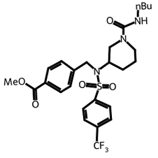 CCCCNC(=O)N1CCCC(N(Cc2ccc(C(=O)OC)cc2)S(=O)(=O)c2ccc(C(F)(F)F)cc2)C1